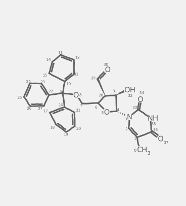 Cc1cn([C@@H]2OC(COC(c3ccccc3)(c3ccccc3)c3ccccc3)[C@@H](C=O)[C@H]2O)c(=O)[nH]c1=O